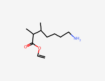 C=COC(=O)C(C)C(C)CCCCN